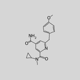 COc1ccc(Cc2cc(C(N)=O)cc(C(=O)N(C)C3CC3)n2)cc1